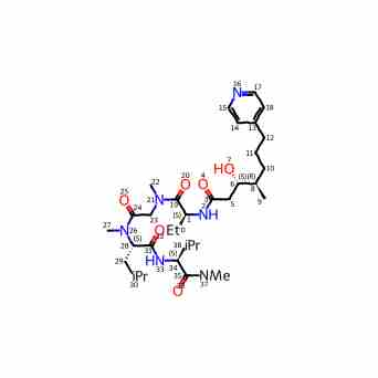 CC[C@H](NC(=O)C[C@H](O)[C@H](C)CCCc1ccncc1)C(=O)N(C)CC(=O)N(C)[C@@H](CC(C)C)C(=O)N[C@H](C(=O)NC)C(C)C